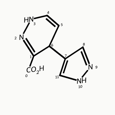 O=C(O)C1=NNC=CC1c1cn[nH]c1